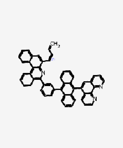 C=C/C=C\c1cc2ccccc2c2c3c(c(-c4cccc(-c5c6ccccc6c(-c6cc7cccnc7c7ncccc67)c6ccccc56)c4)nc12)CCC=C3